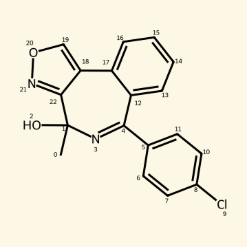 CC1(O)N=C(c2ccc(Cl)cc2)c2ccccc2-c2conc21